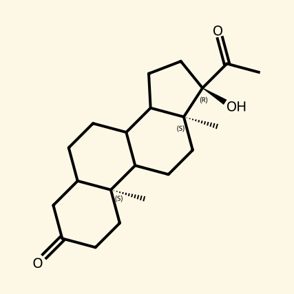 CC(=O)[C@@]1(O)CCC2C3CCC4CC(=O)CC[C@]4(C)C3CC[C@@]21C